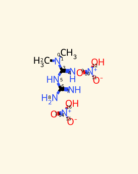 CN(C)C(=N)NC(=N)N.O=[N+]([O-])O.O=[N+]([O-])O